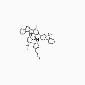 CCCCCc1ccc(N2B3c4cc(C(C)(C)C)ccc4-n4c5c3c(cc(C)c5c3ccc5ccccc5c34)-c3cc4c(cc32)-c2ccccc2C4(C)C)cc1